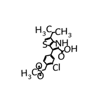 CC(C)c1csc2c(-c3ccc(CS(C)(=O)=O)c(Cl)c3)c(C(=O)O)[nH]c12